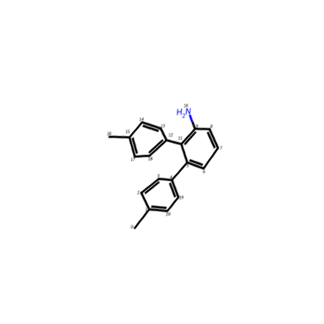 Cc1ccc(-c2cccc(N)c2-c2ccc(C)cc2)cc1